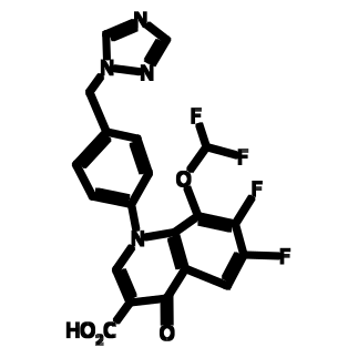 O=C(O)c1cn(-c2ccc(Cn3cncn3)cc2)c2c(OC(F)F)c(F)c(F)cc2c1=O